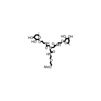 COCCOCCNC(=O)CN(CC(=O)NCCO[C@@H]1O[C@@H](C)C[C@@H](O)[C@@H]1O)CC(=O)NCCO[C@@H]1O[C@@H](C)C[C@@H](O)[C@@H]1O